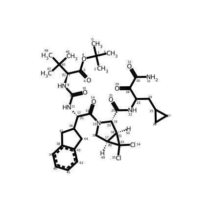 CC(C)(C)OC(=O)[C@@H](NC(=O)N[C@H](C(=O)N1C[C@H]2[C@@H]([C@H]1C(=O)NC(CC1CC1)C(=O)C(N)=O)C2(Cl)Cl)C1Cc2ccccc2C1)C(C)(C)C